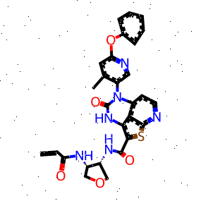 C=CC(=O)N[C@H]1COC[C@H]1NC(=O)c1sc2nccc3c2c1NC(=O)N3c1cnc(Oc2ccccc2)cc1C